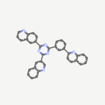 c1cc(-c2ccc3ccccc3n2)cc(-c2nc(-c3ccc4ncccc4c3)nc(-c3cnc4ccccc4c3)n2)c1